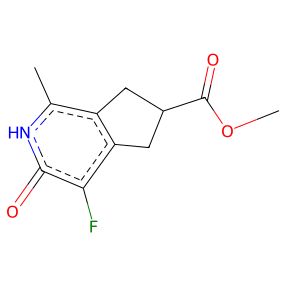 COC(=O)C1Cc2c(C)[nH]c(=O)c(F)c2C1